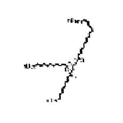 CCCCC/C=C\C/C=C\CCCCCCCCCC(=O)OC[C@@H](COC(=O)CCCCCCCCCCCCCCCCCC)OC(=O)CCCCCCCCCCCCCCCCCCC